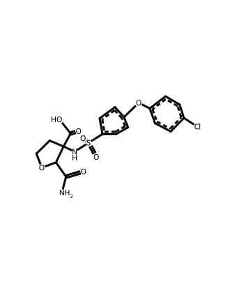 NC(=O)C1OCCC1(NS(=O)(=O)c1ccc(Oc2ccc(Cl)cc2)cc1)C(=O)O